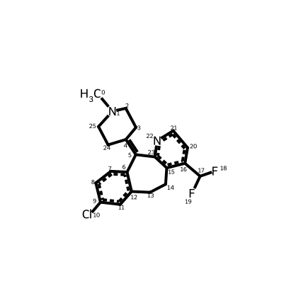 CN1CCC(=C2c3ccc(Cl)cc3CCc3c(C(F)F)ccnc32)CC1